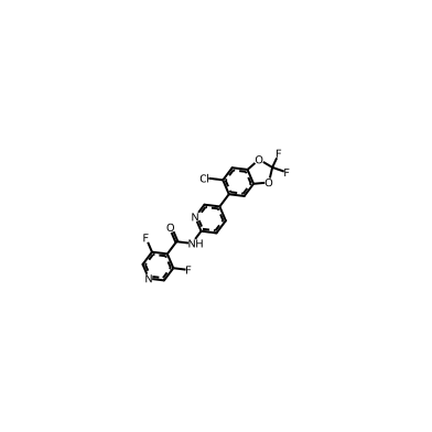 O=C(Nc1ccc(-c2cc3c(cc2Cl)OC(F)(F)O3)cn1)c1c(F)cncc1F